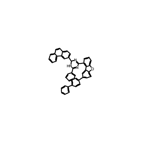 c1ccc(C2=NC(c3cccc4oc5ccc(-c6ccc(-c7ccccc7)cc6)cc5c34)=NC(c3ccc4ccc5ccccc5c4c3)N2)cc1